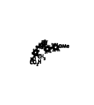 CCCN(CCSc1ccc(OCC(=O)O)c(C)c1)S(=O)(=O)c1cccc(-c2ccc(OC)nc2)c1